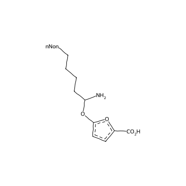 CCCCCCCCCCCCCC(N)Oc1ccc(C(=O)O)o1